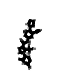 Cc1nc(Cl)ccc1-n1ncc(C(=O)NC2=CC(C#N)=C(n3nccn3)NC2)c1C(F)(F)F